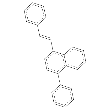 C(=Cc1ccc(-c2ccccc2)c2ccccc12)c1ccccc1